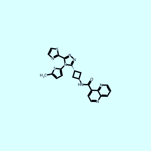 Cc1ccc(-n2c(-c3nccs3)nnc2[C@H]2C[C@H](NC(=O)c3ccnc4cccnc34)C2)s1